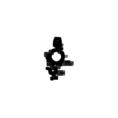 CO[C@]1(C)C[C@@H](C)CN(C)C(C2CC3CCC(C2)N3C(C)C)COC(=O)C(C)(C)C(=O)[C@H](C)[C@H]1O[C@@H]1O[C@H](C)C[C@H](N(C)C)[C@H]1O